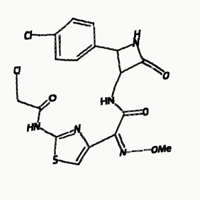 CO/N=C(\C(=O)NC1C(=O)NC1c1ccc(Cl)cc1)c1csc(NC(=O)CCl)n1